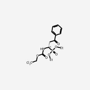 CCOP(=O)(OCC)[C@@H](CC(=O)c1ccccc1)NC(=O)OCC(Cl)(Cl)Cl